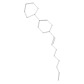 CCCCCC/C=C/C1CCC(C2CCCCC2)CC1